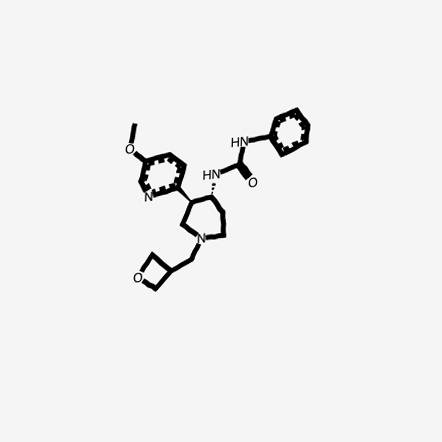 COc1ccc([C@@H]2CN(CC3COC3)CC[C@H]2NC(=O)Nc2ccccc2)nc1